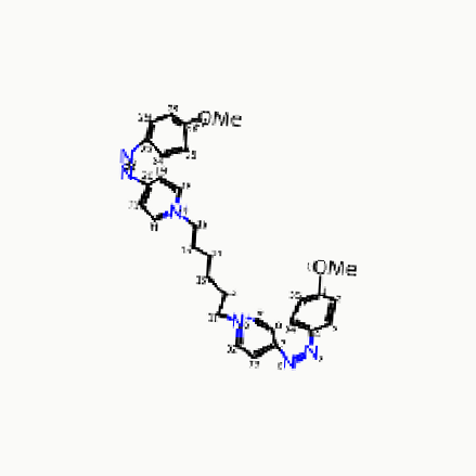 COc1ccc(/N=N\c2cc[n+](CCCCCC[n+]3ccc(/N=N\c4ccc(OC)cc4)cc3)cc2)cc1